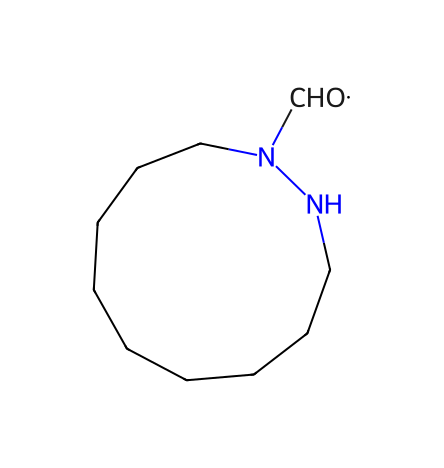 O=[C]N1CCCCCCCCCN1